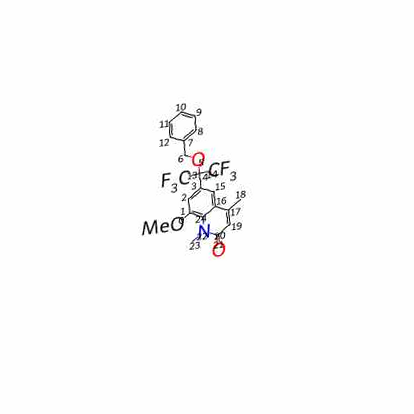 COc1cc(C(OCc2ccccc2)(C(F)(F)F)C(F)(F)F)cc2c(C)cc(=O)n(C)c12